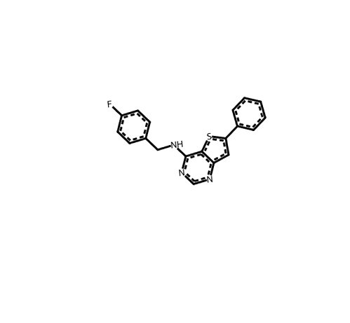 Fc1ccc(CNc2ncnc3cc(-c4ccccc4)sc23)cc1